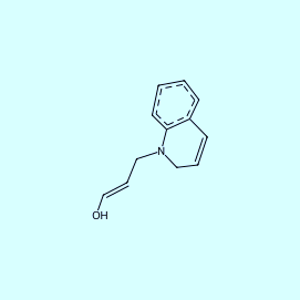 OC=CCN1CC=Cc2ccccc21